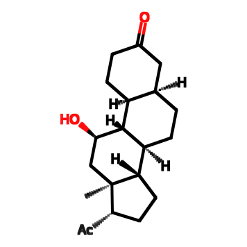 CC(=O)[C@H]1CC[C@H]2[C@@H]3CC[C@@H]4CC(=O)CC[C@@H]4[C@H]3[C@H](O)C[C@]12C